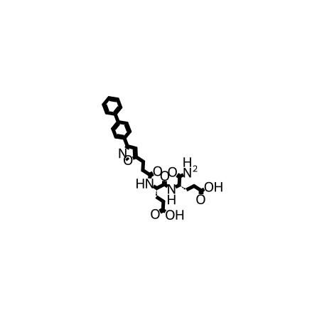 NC(=O)[C@H](CCC(=O)O)NC(=O)[C@H](CCC(=O)O)NC(=O)CCc1cc(-c2ccc(-c3ccccc3)cc2)no1